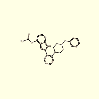 NC(=O)Oc1cccc2[nH]c(-c3cnccc3N3CCN(Cc4ccccc4)CC3)nc12